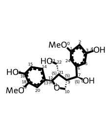 COc1cc(O)cc([C@@H](O)[C@@H]2CO[C@@H](c3ccc(O)c(OC)c3)[C@@H]2CO)c1